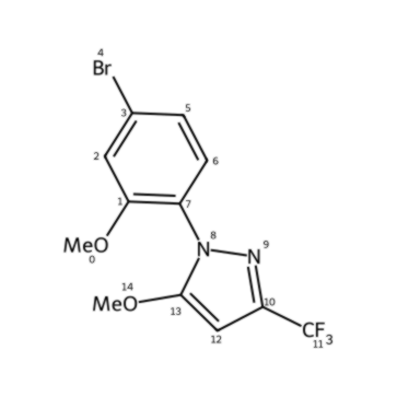 COc1cc(Br)ccc1-n1nc(C(F)(F)F)cc1OC